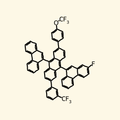 Fc1ccc2c(c1)cc(-c1c3ccc(-c4ccc(OC(F)(F)F)cc4)cc3c(-c3cc4ccccc4c4ccccc34)c3ccc(-c4cccc(C(F)(F)F)c4)cc13)c1ccccc12